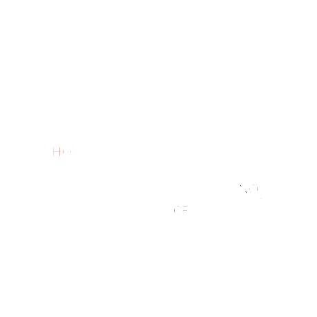 O=[N+]([O-])c1ccc2ccc(O)cc2c1C(F)(F)F